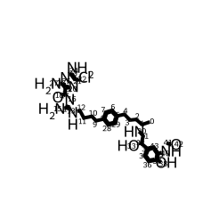 CC(CCCc1ccc(CCCCNC(N)=NC(=O)c2nc(Cl)c(N)nc2N)cc1)NC[C@H](O)c1ccc(O)c(NC=O)c1